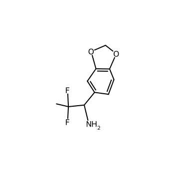 CC(F)(F)C(N)c1ccc2c(c1)OCO2